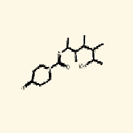 CCC(C)C(C)C(C)C(C)C(C)C(C)OC(=O)N1CCC(=O)CC1